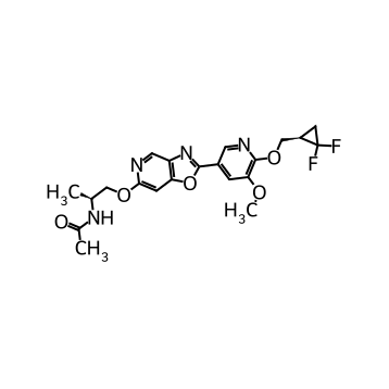 COc1cc(-c2nc3cnc(OC[C@H](C)NC(C)=O)cc3o2)cnc1OC[C@H]1CC1(F)F